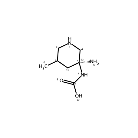 CC1CNC[C@@](N)(NC(=O)O)C1